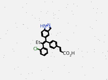 CC/C(=C(/c1ccc(C=CC(=O)O)cc1)c1ccc2[nH]ncc2c1)c1ccccc1Cl